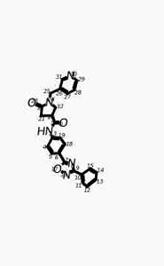 O=C(Nc1ccc(-c2nc(-c3ccccc3)no2)cc1)C1CC(=O)N(Cc2cccnc2)C1